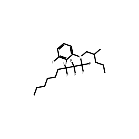 CCCCCCC(F)(F)C(F)(F)C(F)(F)P(CC(C)CCC)c1cccc(F)c1F